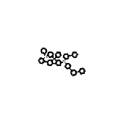 c1ccc(Oc2ccccc2-c2ccc3c(c2)C(c2ccccc2)(c2ccccc2)c2cc(N(c4ccc(-c5cccc(-c6ccccc6)c5)cc4)c4cccc(-c5ccccc5)c4)ccc2-3)cc1